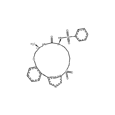 C[C@@H]1COc2ccccc2-c2cncc(c2)S(=O)(=O)CCCC[C@H](NS(=O)(=O)c2ccccc2)C(=O)N1